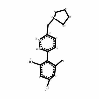 Cc1cc(Cl)cc(O)c1-c1ccc(CN2CCCC2)nn1